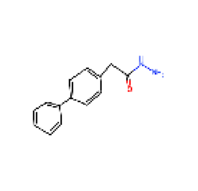 NNC(=O)Cc1ccc(-c2ccccc2)cc1